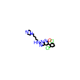 CN1CCN(CCCCCNc2ncc3cc(-c4c(Cl)cccc4Cl)c(=O)n(C)c3n2)CC1